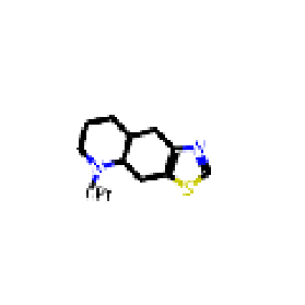 CCCN1CCCC2Cc3ncsc3CC21